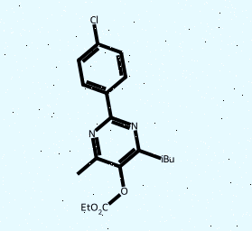 CCOC(=O)Oc1c(C)nc(-c2ccc(Cl)cc2)nc1C(C)CC